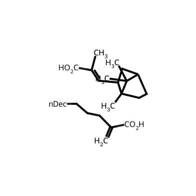 C=C(CCCCCCCCCCCCC)C(=O)O.CC(=CC1CC2CCC1(C)C2(C)C)C(=O)O